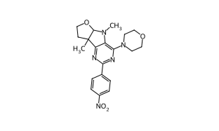 CN1c2c(N3CCOCC3)nc(-c3ccc([N+](=O)[O-])cc3)nc2C2(C)CCOC12